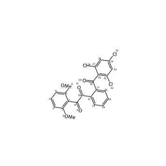 COc1cccc(OC)c1C(=O)[P](=O)c1ccccc1C(=O)c1c(Cl)cc(Cl)cc1Cl